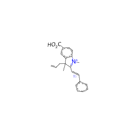 C=CCC1(C)C(/C=C/c2ccccc2)=[N+](C)c2ccc(C(=O)O)cc21